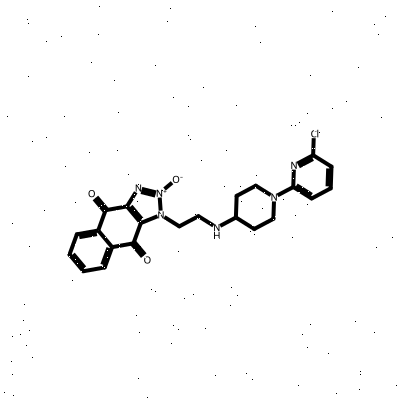 O=C1c2ccccc2C(=O)c2c1n[n+]([O-])n2CCNC1CCN(c2cccc(Cl)n2)CC1